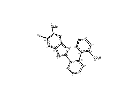 COc1cc2nc(-c3ccccc3-c3ccccc3C(=O)O)[nH]c2cc1F